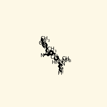 CCS(=O)(=O)N1CCN([C@@H](C)Cn2c(C#N)cc3c(C)c(CN4CCC(Nc5nc(NC)nc6sc(CC(F)(F)F)cc56)CC4)ccc32)CC1